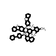 Cc1cc(C)c(-c2cc(-c3c(Nc4ccc(-c5ccccc5)cc4)ccc4ccccc34)c3c(c2)N(c2ccc4c(c2)sc2ccccc24)c2cc4sc5ccccc5c4cc2B3)c(C)c1